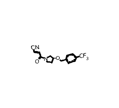 N#C/C=C/C(=O)N1CC[C@H](OCc2ccc(C(F)(F)F)cc2)C1